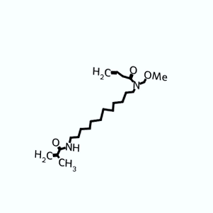 C=CCC(=O)N(CCCCCCCCCCCCNC(=O)C(=C)C)COC